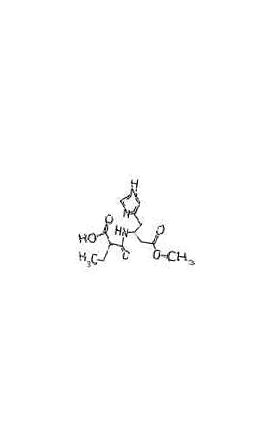 CCC(C(=O)O)C(=O)NC(CC(=O)OC)Cc1c[nH]cn1